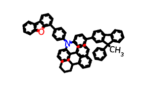 CC1(c2ccccc2)c2ccccc2-c2ccc(-c3ccc(N(c4ccc(-c5cccc6c5oc5ccccc56)cc4)c4ccccc4-c4cccc5cccc(C6CCCCC6)c45)cc3)cc21